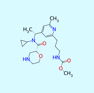 COC(=O)NCCCc1cc([C@@H](C)N(C(=O)[C@H]2CNCCO2)C2CC2)cc(C)n1